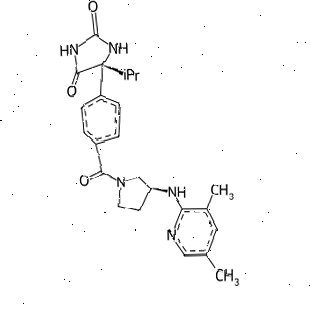 Cc1cnc(N[C@H]2CCN(C(=O)c3ccc([C@@]4(C(C)C)NC(=O)NC4=O)cc3)C2)c(C)c1